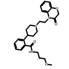 COCCCNC(=O)c1ccccc1C1CCN(CCN2C(=O)COc3ccccc32)CC1